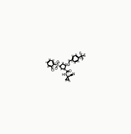 N#CC1(NC(=O)[C@H]2C[C@H](S(=O)(=O)c3ccccc3Cl)C[C@@H]2OCc2ccc(C(F)(F)F)cc2)CC1